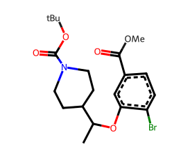 COC(=O)c1ccc(Br)c(OC(C)C2CCN(C(=O)OC(C)(C)C)CC2)c1